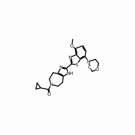 COc1ccc(N2CCOCC2)c2sc(-c3nc4c([nH]3)CCN(C(=O)C3CC3)CC4)nc12